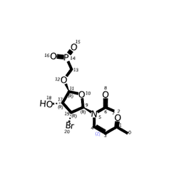 CC(=O)/C=C\N(C(C)=O)[C@@H]1O[C@H](OCP(=O)=O)[C@@H](O)[C@H]1Br